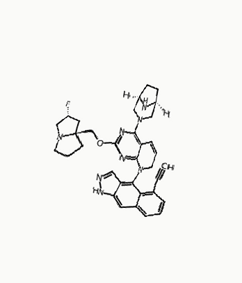 C#Cc1cccc2cc3[nH]ncc3c(N3CC=Cc4c(N5C[C@H]6CC[C@@H](C5)N6)nc(OC[C@@]56CCCN5C[C@H](F)C6)nc43)c12